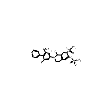 COc1cc(N2CCC3=C(CN(S(=O)(=O)C(F)(F)F)C(OS(=O)(=O)C(F)(F)F)=C3)C2C)cc(F)c1-c1ccncc1